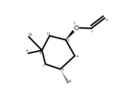 C=CO[C@H]1C[C@H](C)CC(C)(C)C1